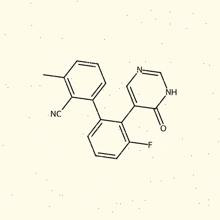 Cc1cccc(-c2cccc(F)c2-c2cnc[nH]c2=O)c1C#N